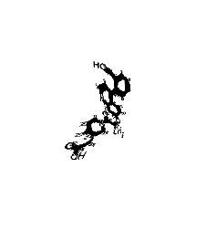 C#Cc1ccccc1-c1ccnc2cc(O[C@H](C)C(=O)N3CCC[C@H](CC(=O)O)C3)ccc12